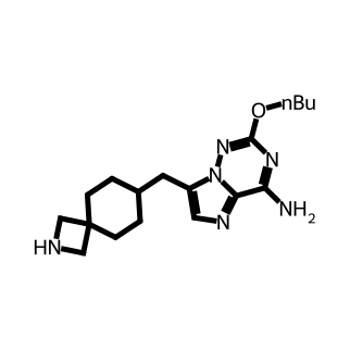 CCCCOc1nc(N)c2ncc(CC3CCC4(CC3)CNC4)n2n1